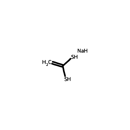 C=C(S)S.[NaH]